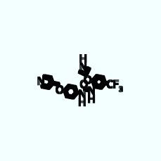 O=C(Nc1cc(C(F)(F)F)ccc1OC1CNC1)N[C@H]1CC[C@H](OCc2ccncc2)CC1